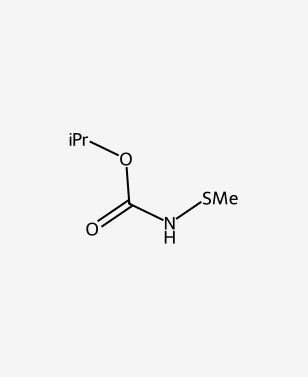 CSNC(=O)OC(C)C